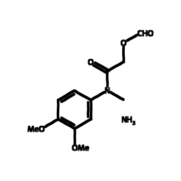 COc1ccc(N(C)C(=O)COC=O)cc1OC.N